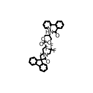 O=C(NC1COP(=O)(CCCCC2(C(=O)NCC(F)(F)F)c3ccccc3-c3ccccc32)OC1)c1ccccc1-c1ccccn1